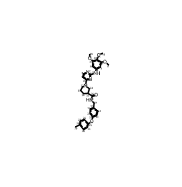 COc1cc(Nc2nccc(N3CCCC(C(=O)NCc4ccc(Oc5ccc(C)cc5)cc4)C3)n2)cc(OC)c1OC